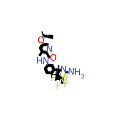 C#C[C@H](C)Oc1cnc(C(=O)Nc2ccc(F)c([C@]3(C)N=C(N)S[C@@]4(C(F)F)C[C@@H]34)c2)c(C)c1